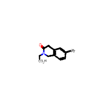 CC(C)c1ccc2c(c1)CC(=O)N(CC(=O)O)C2